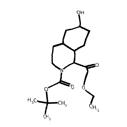 CCOC(=O)C1C2CCC(O)CC2CCN1C(=O)OC(C)(C)C